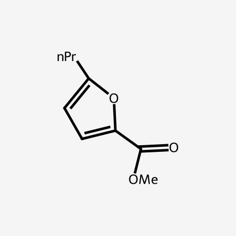 C[CH]Cc1ccc(C(=O)OC)o1